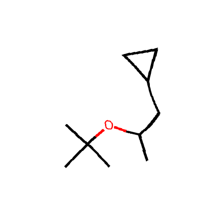 CC(CC1CC1)OC(C)(C)C